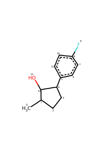 CC1CCC(c2ccc(F)cc2)C1O